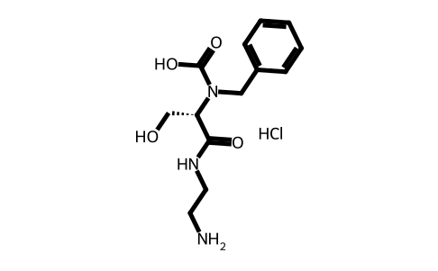 Cl.NCCNC(=O)[C@H](CO)N(Cc1ccccc1)C(=O)O